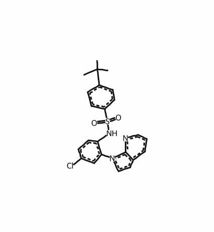 CC(C)(C)c1ccc(S(=O)(=O)Nc2ccc(Cl)cc2-n2ccc3cccnc32)cc1